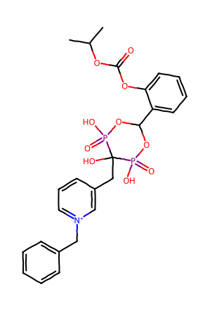 CC(C)OC(=O)Oc1ccccc1C1OP(=O)(O)C(O)(Cc2ccc[n+](Cc3ccccc3)c2)P(=O)(O)O1